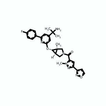 Cn1nc(-c2ccon2)cc1C(=O)N1C[C@H]2[C@H](Oc3cc(C(C)(C)N)cc(-c4ccc(F)cc4)n3)[C@@]2(C)C1